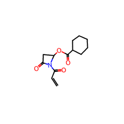 C=CC(=O)N1C(=O)CC1OC(=O)C1CCCCC1